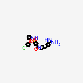 N=C(N)c1ccc(CC2CCN(C(=O)c3ccc(S(=O)(=O)Nc4ccccc4Oc4ccc(Cl)cc4)cc3)CC2)cc1